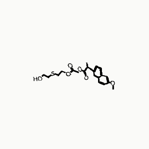 COc1ccc2cc(C(C)C(=O)OCC(=O)OCCSCCO)ccc2c1